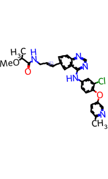 COC(C)C(=O)NC/C=C/c1ccc2ncnc(Nc3ccc(Oc4ccc(C)nc4)c(Cl)c3)c2c1